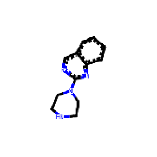 c1ccc2nc(N3CCNCC3)ncc2c1